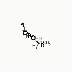 CC(=O)N[C@@H](C)COc1ccc(-n2cc3cc(OCC4CC4)ccc3n2)cc1